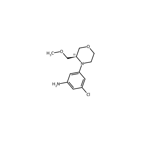 COC[C@H]1COCCN1c1cc(N)cc(Cl)c1